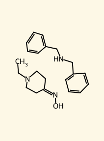 CCN1CCC(=NO)CC1.c1ccc(CNCc2ccccc2)cc1